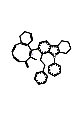 C=C1/C=C\C=CC2=C(C=CCC2)/C(c2ccc3c4c(n(-c5ccccc5)c3c2CCc2ccccc2)CCCC4)=C\1C